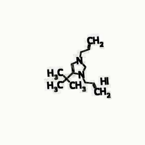 C=CCN1C=C(C(C)(C)C)N(CC=C)C1.I